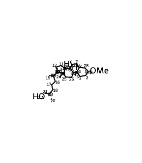 CO[C@H]1CC[C@@]2(C)C(=CC[C@H]3[C@@H]4CC[C@H]([C@H](C)CCC[C@H](C)CO)[C@@]4(C)CC[C@@H]32)C1